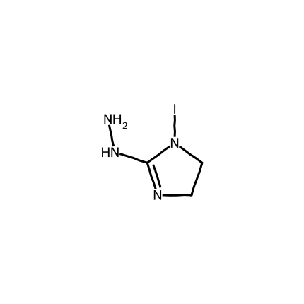 NNC1=NCCN1I